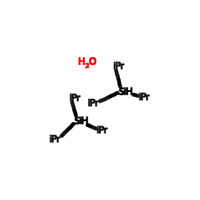 CC(C)[SiH](C(C)C)C(C)C.CC(C)[SiH](C(C)C)C(C)C.O